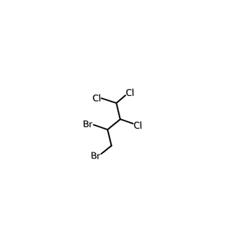 ClC(Cl)C(Cl)C(Br)CBr